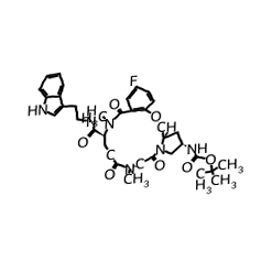 CN1CC(=O)N2C[C@@H](NC(=O)OC(C)(C)C)C[C@H]2COc2ccc(F)cc2C(=O)N(C)[C@H](C(=O)NCCc2c[nH]c3ccccc23)CCC1=O